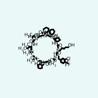 CC[C@H](C)[C@@H]1NC(=O)[C@H](CC(C)C)N(C)C(=O)C[C@@H](C(=O)N2CCCCC2)N(C)C(=O)[C@H](C2CCCCC2)N(C)C(=O)C2(CCCC2)NC(=O)CN(CC=CCCO)C(=O)[C@H](CCc2ccc(C(F)(F)F)c(Cl)c2)NC(=O)CN(C)C(=O)[C@H](CC2CCCCC2)N(C)C(=O)CN(C)C(=O)CN(C)C1=O